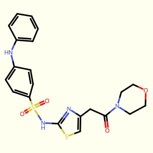 O=C(Cc1csc(NS(=O)(=O)c2ccc(Nc3ccccc3)cc2)n1)N1CCOCC1